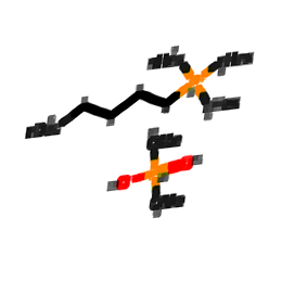 CCCCCCCCCCCCCC[P+](CCCCCC)(CCCCCC)CCCCCC.COP(=O)([O-])OC